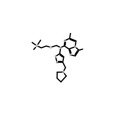 Cc1cn2c(I)cnc2c(N(COCC[Si](C)(C)C)c2cc(CN3CCCC3)ns2)n1